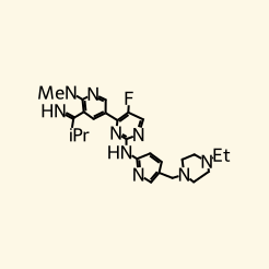 CCN1CCN(Cc2ccc(Nc3ncc(F)c(-c4cnc(NC)c(C(=N)C(C)C)c4)n3)nc2)CC1